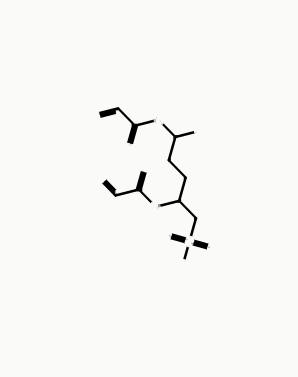 C=CC(=O)NC(C)CCC(CS(=O)(=O)O)NC(=O)C=C